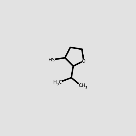 CC(C)C1OCCC1S